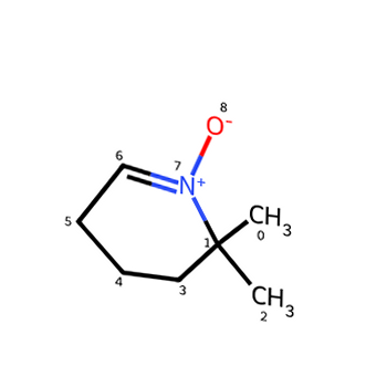 CC1(C)CCCC=[N+]1[O-]